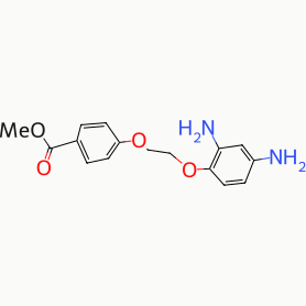 COC(=O)c1ccc(OCCOc2ccc(N)cc2N)cc1